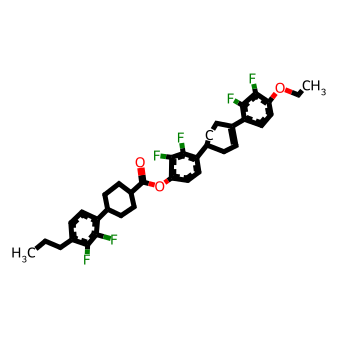 CCCc1ccc(C2CCC(C(=O)Oc3ccc(C4CC=C(c5ccc(OCC)c(F)c5F)CC4)c(F)c3F)CC2)c(F)c1F